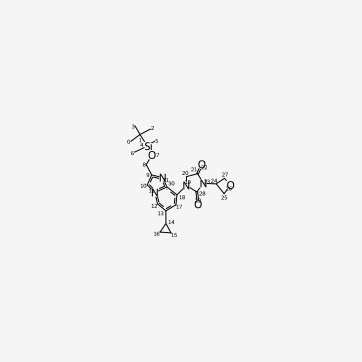 CC(C)(C)[Si](C)(C)OCc1cn2cc(C3CC3)cc(N3CC(=O)N(C4COC4)C3=O)c2n1